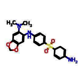 CN(C)c1cc2c(cc1Nc1ccc(S(=O)(=O)C3C=CC(N)=CC3)cc1)OCO2